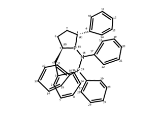 c1ccc(C[C@H]2CC[C@H](c3ccccc3)P2N(c2ccccc2)P(c2ccccc2)c2ccccc2)cc1